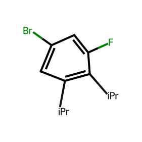 CC(C)c1cc(Br)cc(F)c1C(C)C